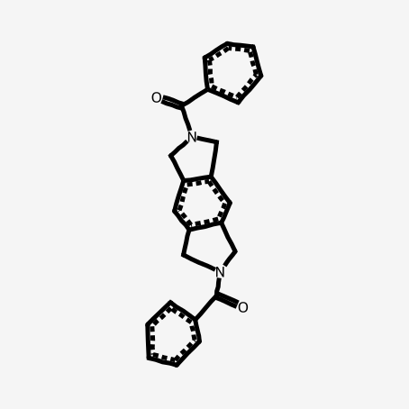 O=C(c1ccccc1)N1Cc2cc3c(cc2C1)CN(C(=O)c1ccccc1)C3